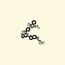 NCN(C(=O)c1ccccc1)c1ccc(Nc2nc(-c3ccc4cc(OCCO)ccc4c3)cc3ccnn23)cc1